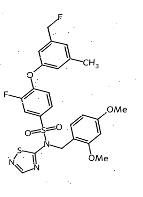 COc1ccc(CN(c2ncns2)S(=O)(=O)c2ccc(Oc3cc(C)cc(CF)c3)c(F)c2)c(OC)c1